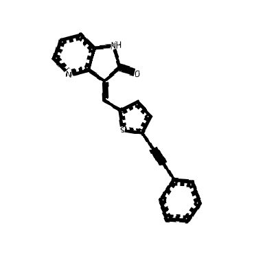 O=C1Nc2cccnc2C1=Cc1ccc(C#Cc2ccccc2)s1